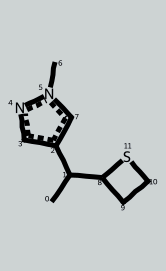 CC(c1cnn(C)c1)C1CCS1